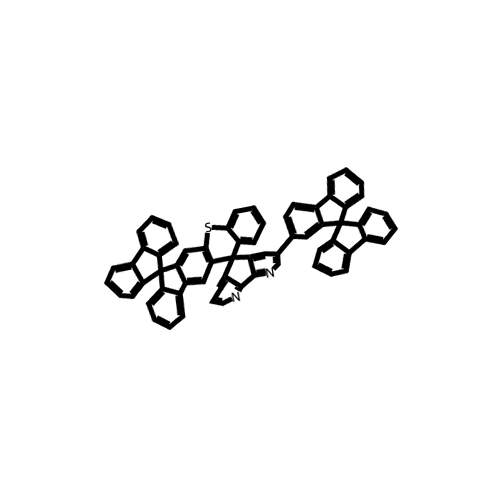 c1ccc2c(c1)Sc1cc3c(cc1C21c2cccnc2-c2ncc(-c4ccc5c(c4)C4(c6ccccc6-c6ccccc64)c4ccccc4-5)cc21)-c1ccccc1C31c2ccccc2-c2ccccc21